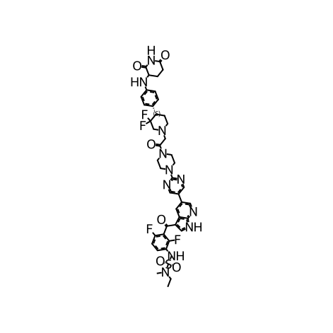 CCN(C)S(=O)(=O)Nc1ccc(F)c(C(=O)c2c[nH]c3ncc(-c4cnc(N5CCN(C(=O)CN6CC[C@@H](c7ccc(NC8CCC(=O)NC8=O)cc7)C(F)(F)C6)CC5)nc4)cc23)c1F